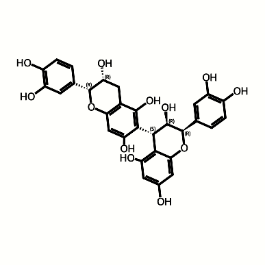 Oc1cc(O)c2c(c1)O[C@H](c1ccc(O)c(O)c1)[C@H](O)[C@H]2c1c(O)cc2c(c1O)C[C@@H](O)[C@@H](c1ccc(O)c(O)c1)O2